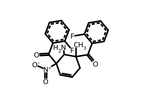 CC1(C(=O)c2ccccc2F)CC=CC(C(=O)c2ccccc2F)([N+](=O)[O-])C1N